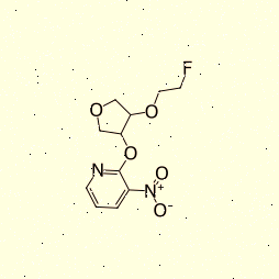 O=[N+]([O-])c1cccnc1OC1COCC1OCCF